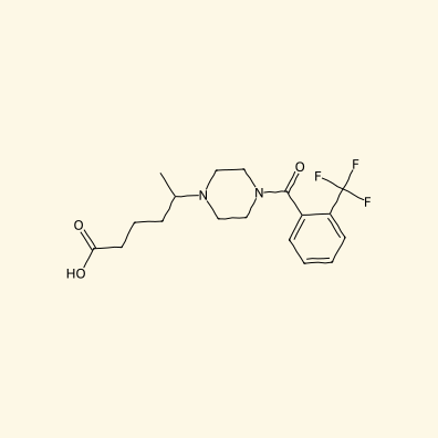 CC(CCCC(=O)O)N1CCN(C(=O)c2ccccc2C(F)(F)F)CC1